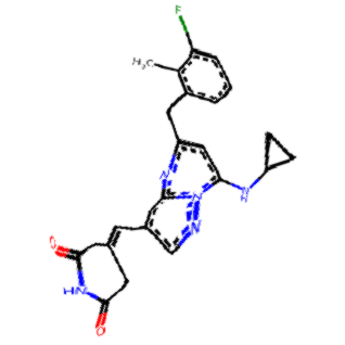 Cc1c(F)cccc1Cc1cc(NC2CC2)n2ncc(/C=C3\CC(=O)NC3=O)c2n1